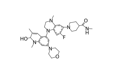 CNC(=O)C1CCN(c2cc3c(cc2F)N(c2cc(N4CCOCC4)cc4c2C=C(C)C(O)N4C)CCN3C)CC1